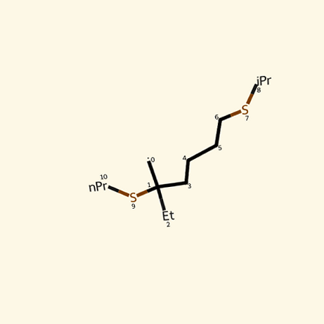 [CH2]C(CC)(CCCCSC(C)C)SCCC